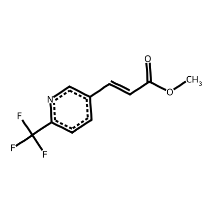 COC(=O)C=Cc1ccc(C(F)(F)F)nc1